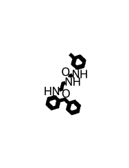 Cc1cccc(NC(=O)NCC(=O)Nc2ccccc2Cc2ccccc2)c1